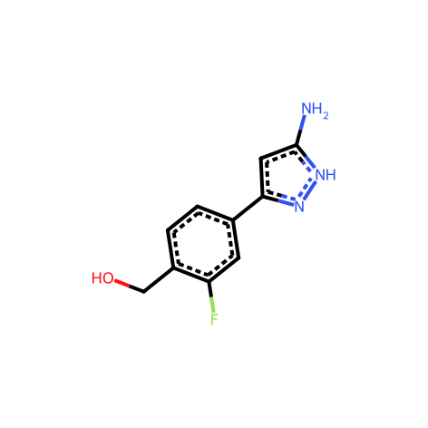 Nc1cc(-c2ccc(CO)c(F)c2)n[nH]1